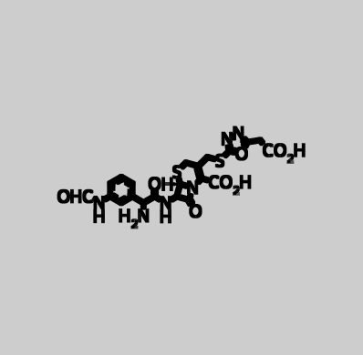 NC(C(=O)NC1C(=O)N2C(C(=O)O)=C(CSc3nnc(CC(=O)O)o3)CS[C@H]12)c1cccc(NC=O)c1